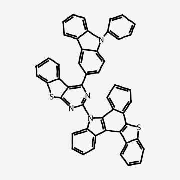 c1ccc(-n2c3ccccc3c3cc(-c4nc(-n5c6ccccc6c6c7c8ccccc8sc7c7ccccc7c65)nc5sc6ccccc6c45)ccc32)cc1